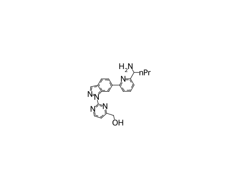 CCCC(N)c1cccc(-c2ccc3cnn(-c4nccc(CO)n4)c3c2)n1